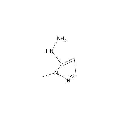 Cn1nccc1NN